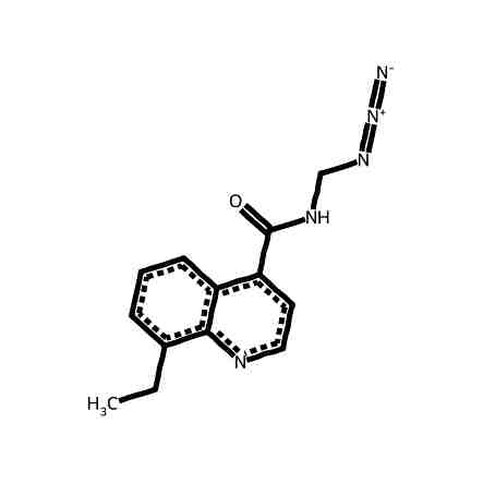 CCc1cccc2c(C(=O)NCN=[N+]=[N-])ccnc12